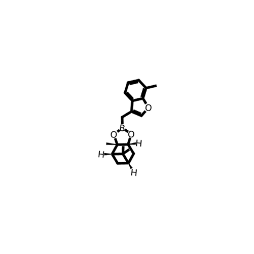 Cc1cccc2c(CB3O[C@@H]4C[C@@H]5C[C@@H](C5(C)C)[C@]4(C)O3)coc12